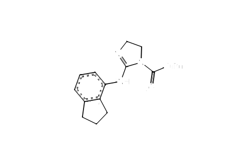 CC(C)COC(=O)N1CCN=C1Nc1cccc2c1CCC2